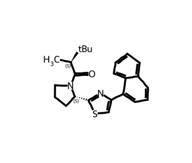 C[C@H](C(=O)N1CCC[C@H]1c1nc(-c2cccc3ccccc23)cs1)C(C)(C)C